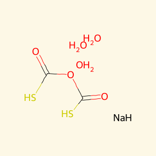 O.O.O.O=C(S)OC(=O)S.[NaH]